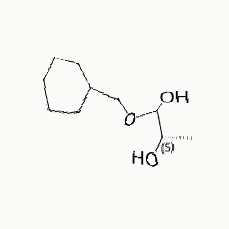 C[C@H](O)C(O)OCC1CCCCC1